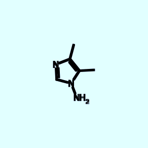 Cc1ncn(N)c1C